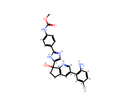 COC(=O)Nc1ccc(-c2ncc(C3(O)CCc4cc(-c5cc(Cl)ccc5N)cnc43)[nH]2)cc1